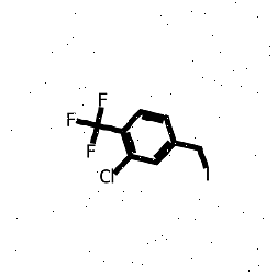 FC(F)(F)c1ccc(CI)cc1Cl